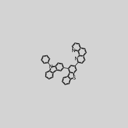 c1ccc(-n2c3ccccc3c3cc(-c4cc(-c5ccc6ccc7cccnc7c6n5)cc5sc6ccccc6c45)ccc32)cc1